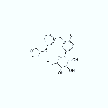 OC[C@H]1O[C@@H](c2ccc(Cl)c(Cc3cccc(O[C@H]4CCOC4)c3)c2)[C@H](O)[C@@H](O)[C@@H]1O